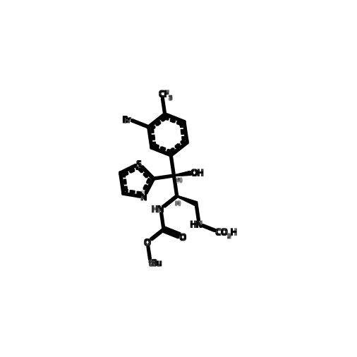 CC(C)(C)OC(=O)N[C@H](CNC(=O)O)[C@@](O)(c1ccc(C(F)(F)F)c(Br)c1)c1nccs1